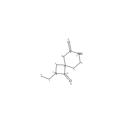 CCN1CC2(CCNC(=O)C2)C1=O